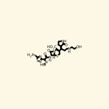 O=C(O)C1=C(C(CCNCCO)=C2CCNC2=O)CS[C@@H]2[C@H](NC(=O)C(=NO)c3nsc([AsH2])n3)C(=O)N12